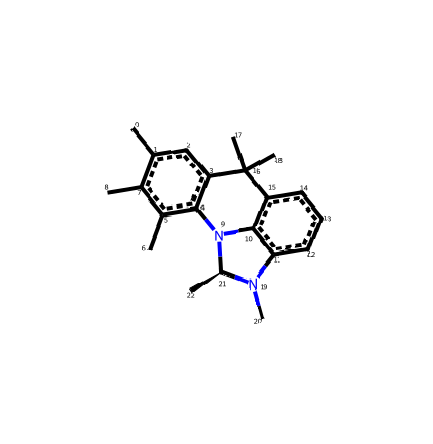 Cc1cc2c(c(C)c1C)N1c3c(cccc3C2(C)C)N(C)[C@H]1C